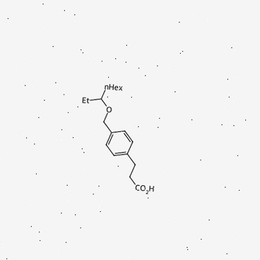 CCCCCCC(CC)OCc1ccc(CCC(=O)O)cc1